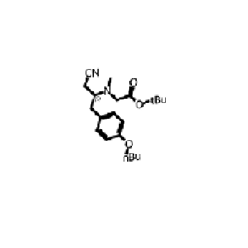 CCCCOc1ccc(C[C@@H](CC#N)N(C)CC(=O)OC(C)(C)C)cc1